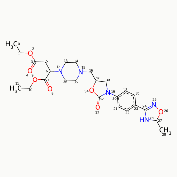 CCOC(=O)CC(C(=O)OCC)N1CCN(CC2CN(c3ccc(C4=NOC(C)N4)cc3)C(=O)O2)CC1